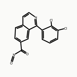 O=NC(=O)c1ccc2ccnc(-c3cccc(Cl)c3Cl)c2c1